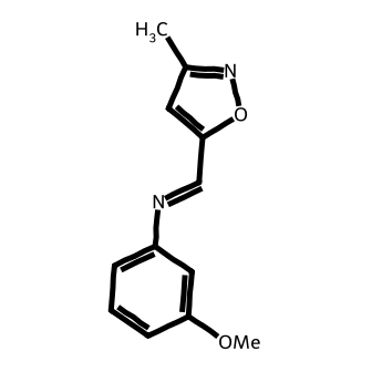 COc1cccc(N=Cc2cc(C)no2)c1